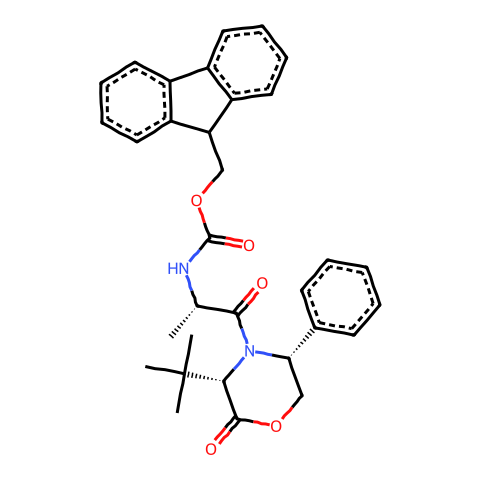 C[C@H](NC(=O)OCC1c2ccccc2-c2ccccc21)C(=O)N1[C@H](c2ccccc2)COC(=O)[C@@H]1C(C)(C)C